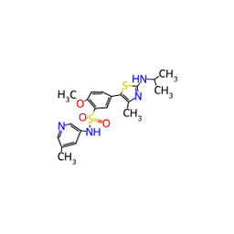 COc1ccc(-c2sc(NC(C)C)nc2C)cc1S(=O)(=O)Nc1cncc(C)c1